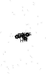 O=C(Cc1ccccc1C(F)(F)F)Nc1onc(-c2ccc(F)cc2)c1-c1ccncn1